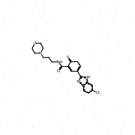 O=C(NCCCN1CCOCC1)C1=CC(c2nc3ccc(C(F)(F)F)cc3[nH]2)=CCC1=S